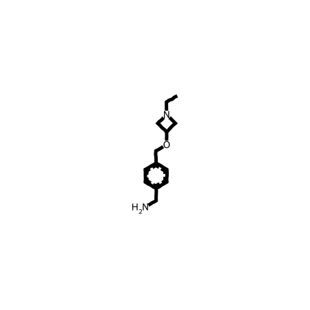 CCN1CC(OCc2ccc(CN)cc2)C1